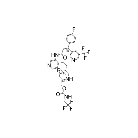 O=C(C[C@@H](c1ccc(F)cc1)c1cncc(C(F)(F)F)c1)Nc1cncc(F)c1CC[C@@H]1CN[C@H](COC(=O)NCC(F)(F)F)CO1